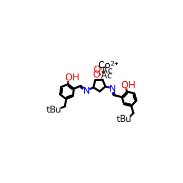 CC(=O)[O-].CC(=O)[O-].CC(C)(C)Cc1ccc(O)c(C=NC2CCC(N=Cc3cc(CC(C)(C)C)ccc3O)C2)c1.[Co+2]